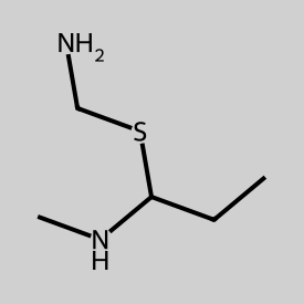 CCC(NC)SCN